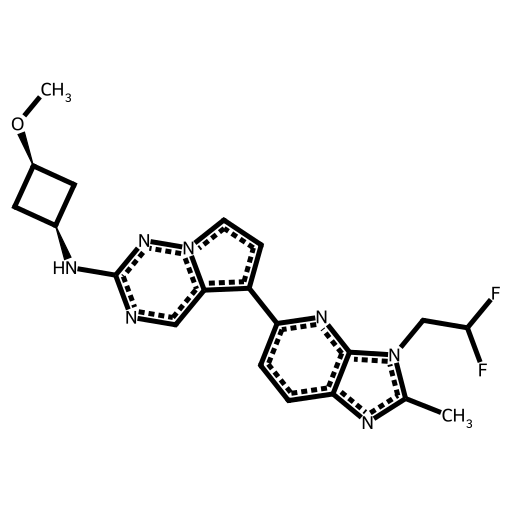 CO[C@H]1C[C@@H](Nc2ncc3c(-c4ccc5nc(C)n(CC(F)F)c5n4)ccn3n2)C1